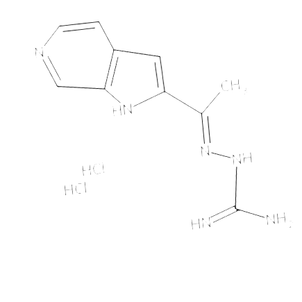 C/C(=N\NC(=N)N)c1cc2ccncc2[nH]1.Cl.Cl